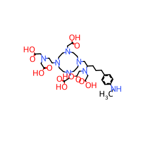 CNc1ccc(CCCC(CN2CCN(CC(=O)O)CCN(CCN(CC(=O)O)CC(=O)O)CCN(CC(=O)O)CC2)N(CC(=O)O)CC(=O)O)cc1